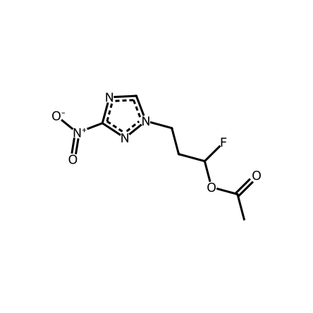 CC(=O)OC(F)CCn1cnc([N+](=O)[O-])n1